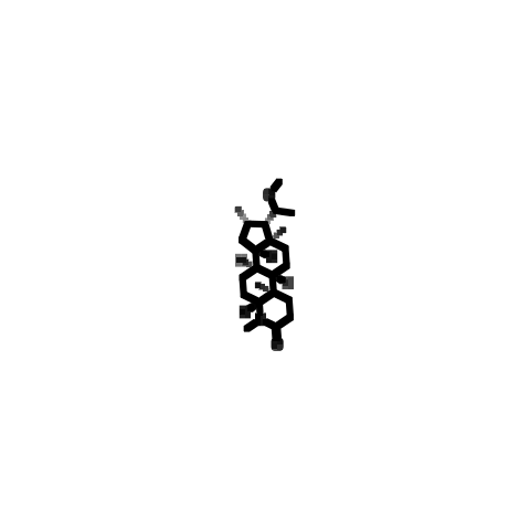 COC(C)[C@H]1[C@@H](C)C[C@H]2[C@@H]3CC[C@H]4N(C)C(=O)CC[C@]4(C)[C@H]3CC[C@@]21C